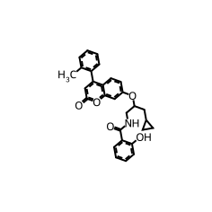 Cc1ccccc1-c1cc(=O)oc2cc(OC(CNC(=O)c3ccccc3O)CC3CC3)ccc12